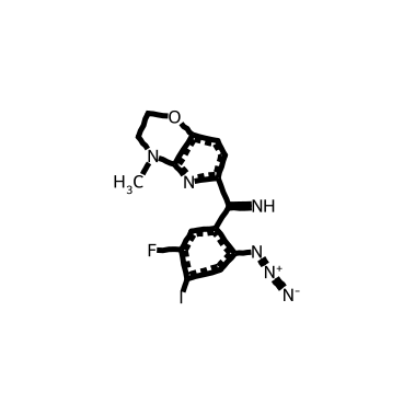 CN1CCOc2ccc(C(=N)c3cc(F)c(I)cc3N=[N+]=[N-])nc21